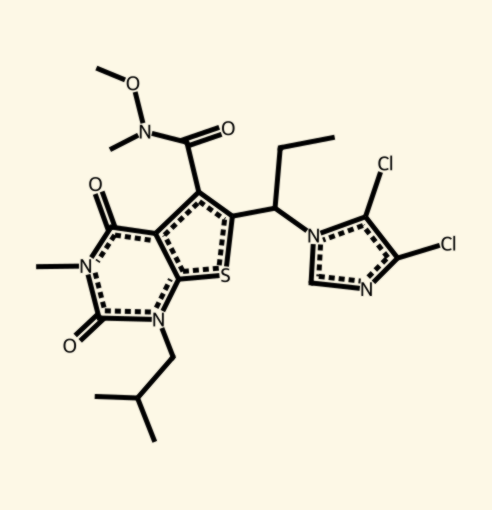 CCC(c1sc2c(c1C(=O)N(C)OC)c(=O)n(C)c(=O)n2CC(C)C)n1cnc(Cl)c1Cl